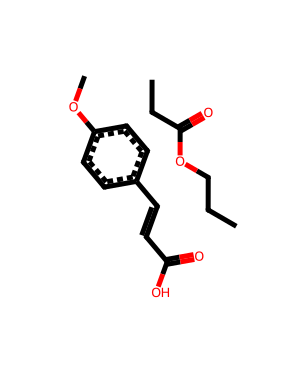 CCCOC(=O)CC.COc1ccc(/C=C/C(=O)O)cc1